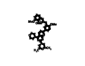 COc1ccc(-c2ccc3c(N4CCOCC4)nc(N4C[C@@H](C)O[C@@H](C)C4)nc3n2)cc1CNCc1cccc(OC)c1OC